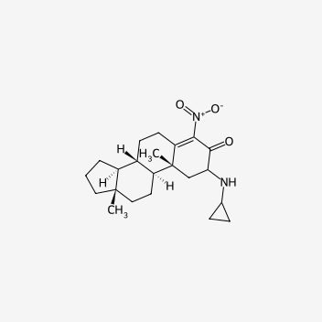 C[C@@]12CCC[C@H]1[C@@H]1CCC3=C([N+](=O)[O-])C(=O)C(NC4CC4)C[C@]3(C)[C@H]1CC2